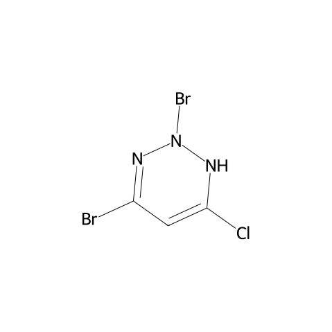 ClC1=CC(Br)=NN(Br)N1